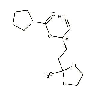 C=C[C@H](CCC1(C)OCCO1)OC(=O)N1CCCC1